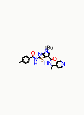 Cc1ccc(C(=O)Nc2nc3c(s2)c(C(=O)NC(C)c2ccncc2)cn3C(C)(C)C)cc1